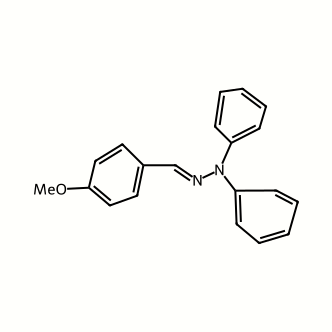 COc1ccc(/C=N/N(c2ccccc2)c2ccccc2)cc1